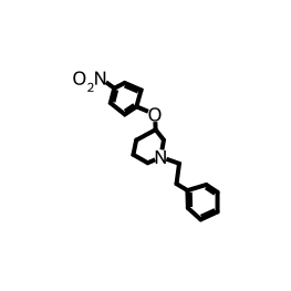 O=[N+]([O-])c1ccc(OC2CCCN(CCc3ccccc3)C2)cc1